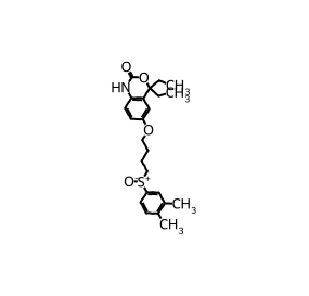 CCC1(CC)OC(=O)Nc2ccc(OCCCC[S+]([O-])c3ccc(C)c(C)c3)cc21